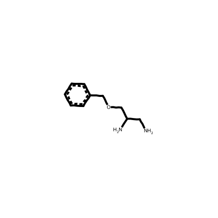 NCC(N)COCc1ccccc1